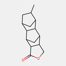 CC1CC2CC1C1C3CC(C4C(=O)OCC34)C21